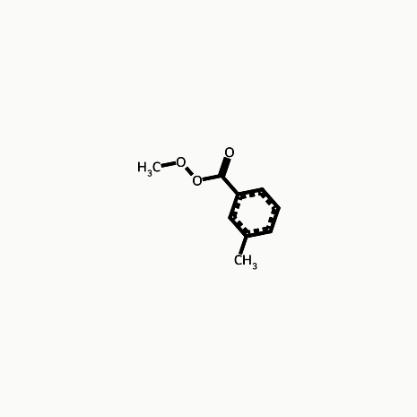 COOC(=O)c1cccc(C)c1